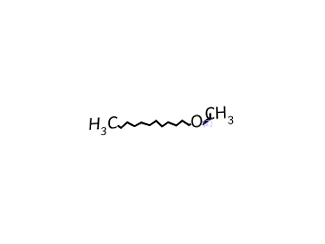 C/C=C\OCCCCCCCCCCCC